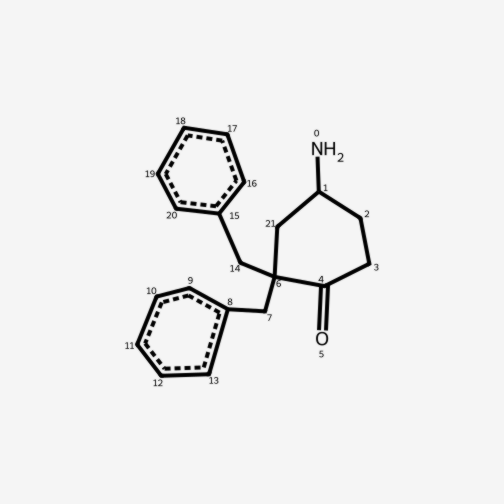 NC1CCC(=O)C(Cc2ccccc2)(Cc2ccccc2)C1